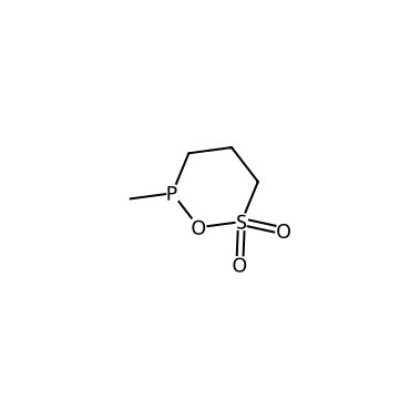 CP1CCCS(=O)(=O)O1